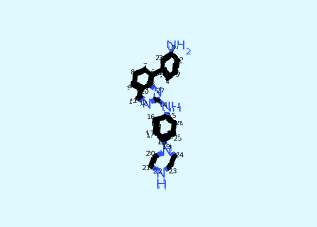 Nc1cccc(-c2cccc3cnc(Nc4ccc(N5CCNCC5)cc4)nc23)c1